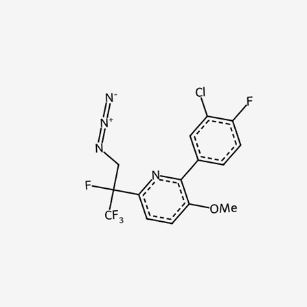 COc1ccc(C(F)(CN=[N+]=[N-])C(F)(F)F)nc1-c1ccc(F)c(Cl)c1